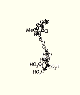 COc1cc2c(cc1-c1cncc(OCCOCCOCCOCCOCCNC(=O)[C@H](CS(=O)(=O)O)NC(=O)CN3CCN(CC(=O)O)CCN(CC(=O)O)CCN(CC(=O)O)CC3)c1)-c1c(c(C(=O)N3CCOCC3(C)C)nn1-c1cc(Cl)cc(Cl)c1)CO2